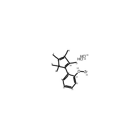 CC1=C(C)C(C)(C)C(c2ccccc2[O][Zr])=C1C.Cl.Cl